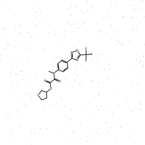 CN(C(=O)C(=O)OC1CCSC1)c1ccc(-c2noc(C(F)(F)F)n2)cc1